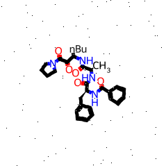 CCCCC(NC(=O)[C@H](C)NC(=O)[C@H](Cc1ccccc1)NC(=O)c1ccccc1)C(=O)C(=O)N1CCCC1